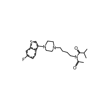 CC(=O)N(CCCCN1CCN(c2csc3cc(F)ccc23)CC1)C(=O)C(C)C